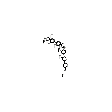 CCCCCc1ccc(-c2ccc(-c3ccc(C(F)(F)Oc4ccc(-c5cc(F)c(OC(F)(F)F)c(F)c5)c(F)c4)c(F)c3)c(F)c2)nc1